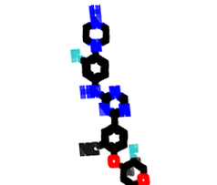 N#Cc1cc(-c2ncnc(Nc3ccc(N4CCNCC4)c(F)c3)n2)ccc1O[C@H]1CCOC[C@@H]1F